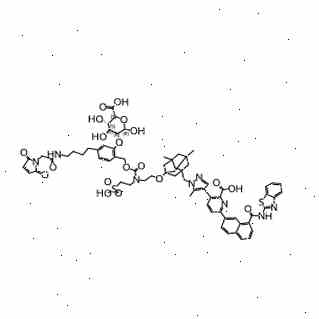 Cc1c(-c2ccc(-c3ccc4cccc(C(=O)Nc5nc6ccccc6s5)c4c3)nc2C(=O)O)cnn1CC12CC3(C)CC(C)(C1)CC(OCCN(CCS(=O)(=O)O)C(=O)OCc1ccc(CCCCNC(=O)CN4C(=O)C=CC4=O)cc1O[C@@H]1[C@@H](O)[C@H](O)[C@@H](C(=O)O)O[C@H]1O)(C3)C2